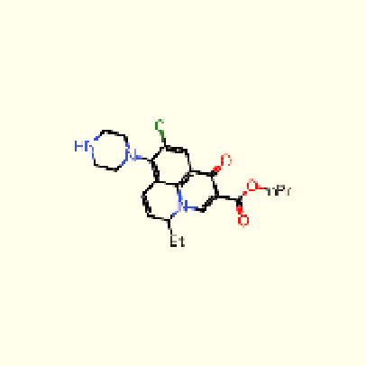 CCCOC(=O)c1cn2c3c(c(N4CCNCC4)c(Cl)cc3c1=O)C=CC2CC